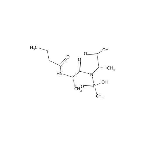 CCCC(=O)N[C@@H](C)C(=O)N([C@@H](C)C(=O)O)P(C)(=O)O